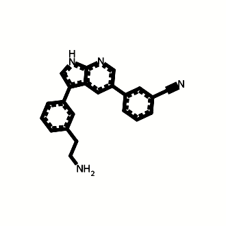 N#Cc1cccc(-c2cnc3[nH]cc(-c4cccc(CCN)c4)c3c2)c1